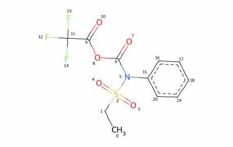 CCS(=O)(=O)N(C(=O)OC(=O)C(F)(F)F)c1ccccc1